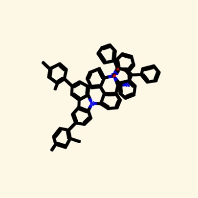 Cc1ccc(-c2ccc3c(c2)c2cc(-c4ccc(C)cc4C)ccc2n3-c2cccc(-c3nc(-c4ccccc4)cc(-c4ccccc4)n3)c2-c2ccccc2-n2c3ccccc3c3ccccc32)c(C)c1